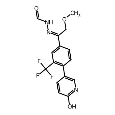 COC/C(=N\NC=O)c1ccc(-c2ccc(O)nc2)c(C(F)(F)F)c1